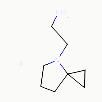 Cl.NCCN1CCCC12CC2